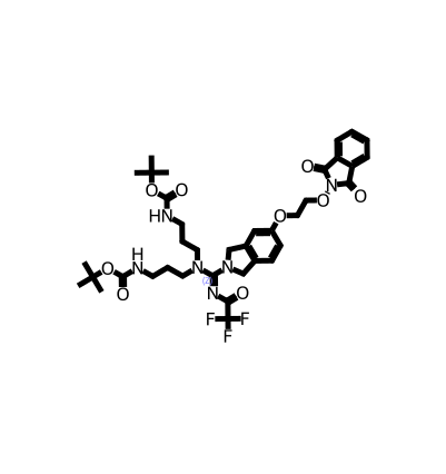 CC(C)(C)OC(=O)NCCCN(CCCNC(=O)OC(C)(C)C)/C(=N/C(=O)C(F)(F)F)N1Cc2ccc(OCCON3C(=O)c4ccccc4C3=O)cc2C1